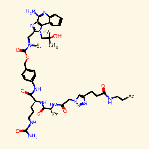 CCN(Cc1nc2c(N)nc3ccccc3c2n1CC(C)(C)O)C(=O)OCc1ccc(NC(=O)[C@H](CCCNC(N)=O)NC(=O)[C@@H](NC(=O)Cn2cc(CCC(=O)NCCC(C)=O)nn2)C(C)C)cc1